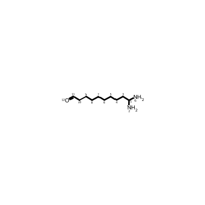 NC(N)CCCCCCCCC=O